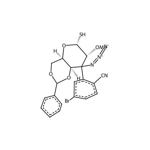 CO[C@H]1[C@@H](S)O[C@@H]2COC(c3ccccc3)O[C@@H]2C1(N=[N+]=[N-])c1cc(Br)ccc1C#N